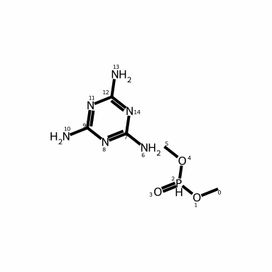 CO[PH](=O)OC.Nc1nc(N)nc(N)n1